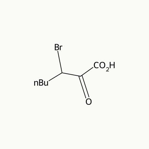 CCCCC(Br)C(=O)C(=O)O